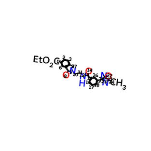 CCOC(=O)c1ccc2c(c1)C(=O)N(CCNC(=O)c1cccc(-c3noc(C)n3)c1)C2